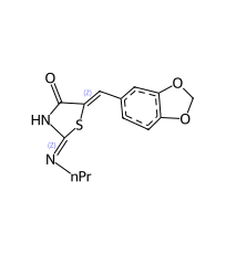 CCC/N=C1/NC(=O)/C(=C/c2ccc3c(c2)OCO3)S1